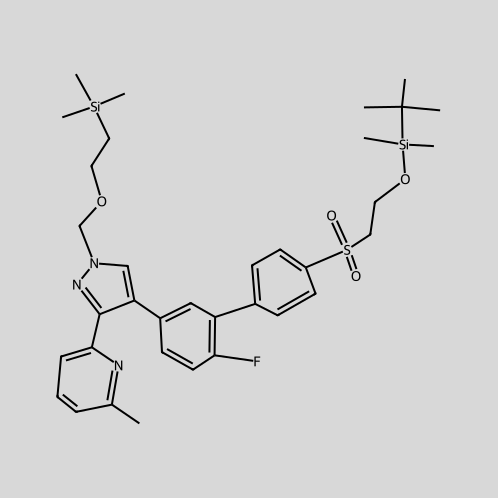 Cc1cccc(-c2nn(COCC[Si](C)(C)C)cc2-c2ccc(F)c(-c3ccc(S(=O)(=O)CCO[Si](C)(C)C(C)(C)C)cc3)c2)n1